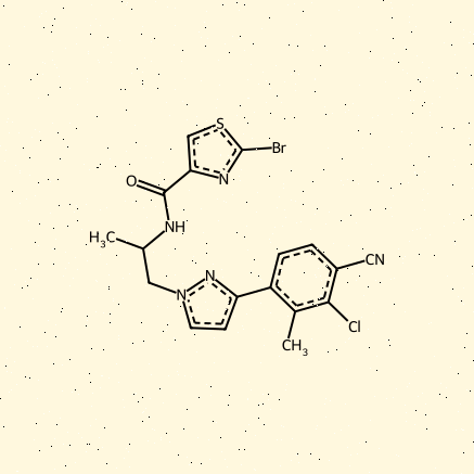 Cc1c(-c2ccn(CC(C)NC(=O)c3csc(Br)n3)n2)ccc(C#N)c1Cl